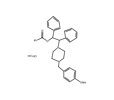 COc1ccc(CN2CCN(C(c3ccccc3)C(OC(=O)C(C)C)c3ccccc3)CC2)cc1.Cl.Cl